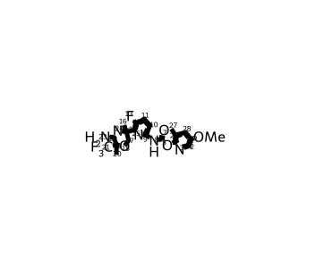 COc1cnc(OC(=O)Nc2ccc(F)c(C3(C)COC(C)(C(F)(F)F)C(N)=N3)n2)c(C)c1